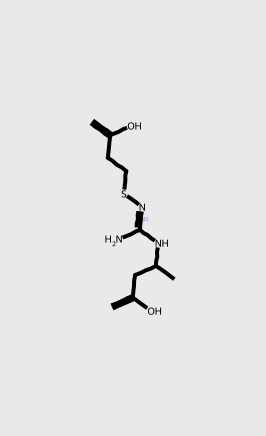 C=C(O)CCS/N=C(\N)NC(C)CC(=C)O